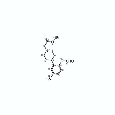 CC(C)(C)OC(=O)CN1CCC(c2cc(C(F)(F)F)ccc2OC=O)CC1